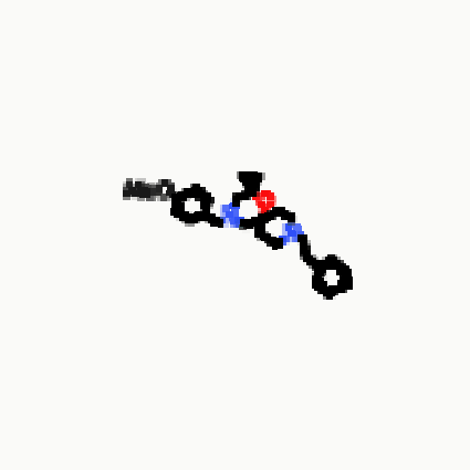 COc1ccc(CN2CC3(CCN(CCc4ccccc4)CC3)OC3(CC3)C2)cc1